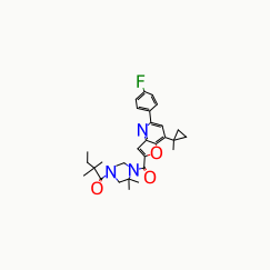 CCC(C)(C)C(=O)N1CCN(C(=O)c2cc3nc(-c4ccc(F)cc4)cc(C4(C)CC4)c3o2)C(C)(C)C1